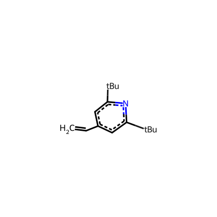 C=Cc1cc(C(C)(C)C)nc(C(C)(C)C)c1